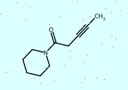 CC#CCC(=O)N1CCCCC1